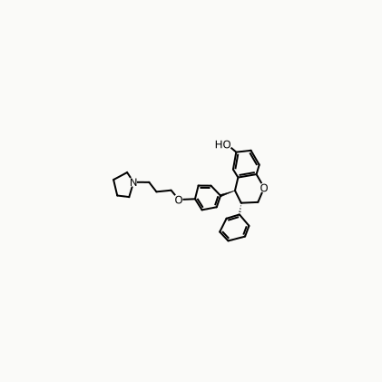 Oc1ccc2c(c1)[C@H](c1ccc(OCCCN3CCCC3)cc1)[C@@H](c1ccccc1)CO2